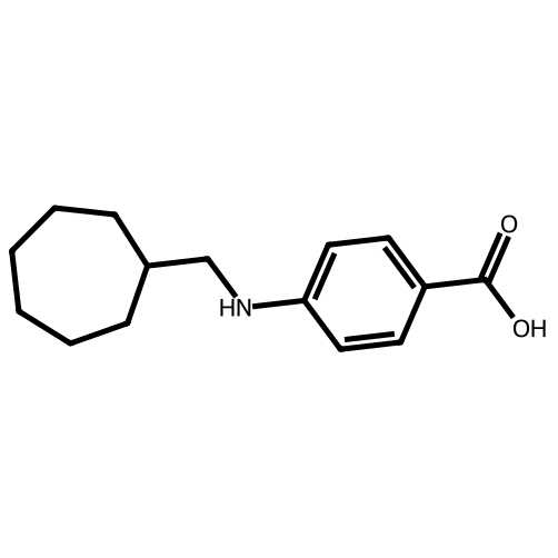 O=C(O)c1ccc(NCC2CCCCCC2)cc1